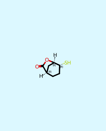 O=C1O[C@@H]2C[C@H]1CC[C@H]2S